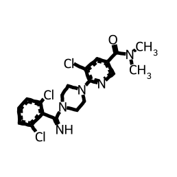 CN(C)C(=O)c1cnc(N2CCN(C(=N)c3c(Cl)cccc3Cl)CC2)c(Cl)c1